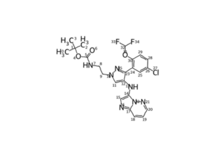 CC(C)(C)OC(=O)NCCn1cc(Nc2cnc3cccnn23)c(-c2cc(Cl)ccc2OC(F)F)n1